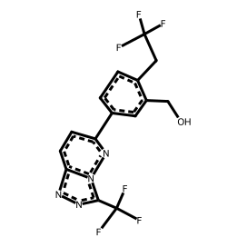 OCc1cc(-c2ccc3nnc(C(F)(F)F)n3n2)ccc1CC(F)(F)F